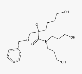 O=C(N(CCCO)CCCO)C(Cl)(CCCCO)COCc1ccccc1